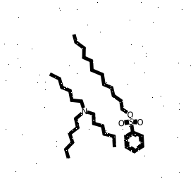 CCCCCCCCCCCCOS(=O)(=O)c1ccccc1.CCCCCCN(CCCCCC)CCCCCC